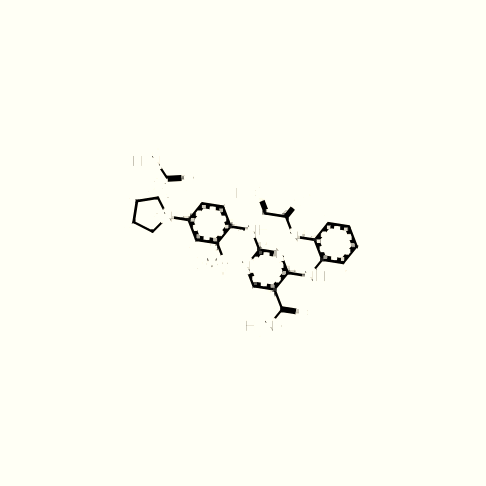 C=CC(=O)Nc1ccccc1Nc1nc(Nc2ccc(N3CCC[C@@H]3C(N)=O)cc2OC)ncc1C(N)=O